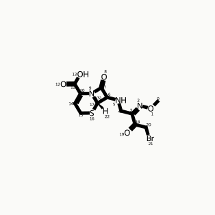 CON=C(CNC1C(=O)N2C(C(=O)O)=CCS[C@@H]12)C(=O)CBr